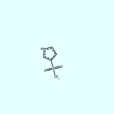 O=S(=O)(c1cc[nH]c1)C(F)(F)F